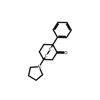 O=C1CC2(N3CCCC3)CCC1(c1ccccc1)CC2